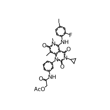 CC(=O)OCC(=O)Nc1cccc(-n2c(=O)n(C3CC3)c(=O)c3c(Nc4ccc(I)cc4F)n(C)c(=O)c(C)c32)c1